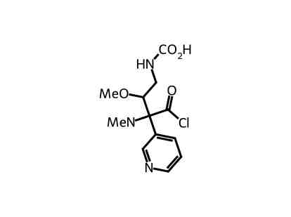 CNC(C(=O)Cl)(c1cccnc1)C(CNC(=O)O)OC